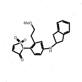 COCCc1cc(NC2Cc3ccccc3C2)ccc1N1C(=O)C=CS1(=O)=O